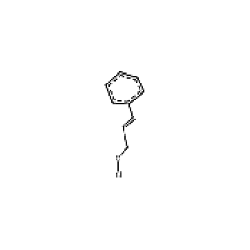 ClOCC=Cc1ccccc1